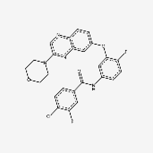 O=C(Nc1ccc(F)c(Oc2ccc3ncc(N4CCOCC4)nc3c2)c1)c1ccc(Cl)c(F)c1